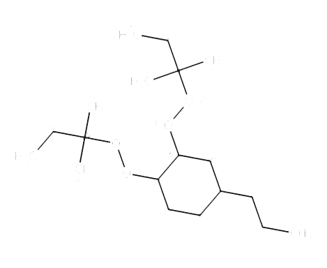 CCCC1CCC(OOC(C)(C)CC)C(OOC(C)(C)CC)C1